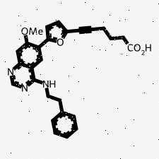 COc1cc2ncnc(NCCc3ccccc3)c2cc1-c1ccc(C#CCCCC(=O)O)o1